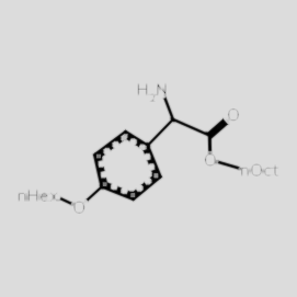 CCCCCCCCOC(=O)C(N)c1ccc(OCCCCCC)cc1